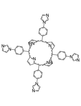 C1=Cc2nc1c(-c1ccc(-n3ccnc3)cc1)c1ccc([nH]1)c(-c1ccc(-n3ccnc3)cc1)c1nc(c(-c3ccc(-n4ccnc4)cc3)c3ccc([nH]3)c2-c2ccc(-n3ccnc3)cc2)C=C1